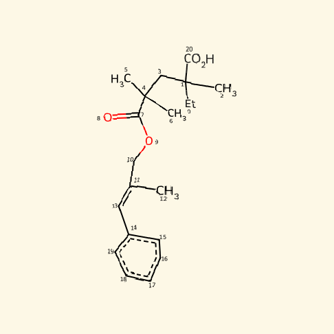 CCC(C)(CC(C)(C)C(=O)OC/C(C)=C/c1ccccc1)C(=O)O